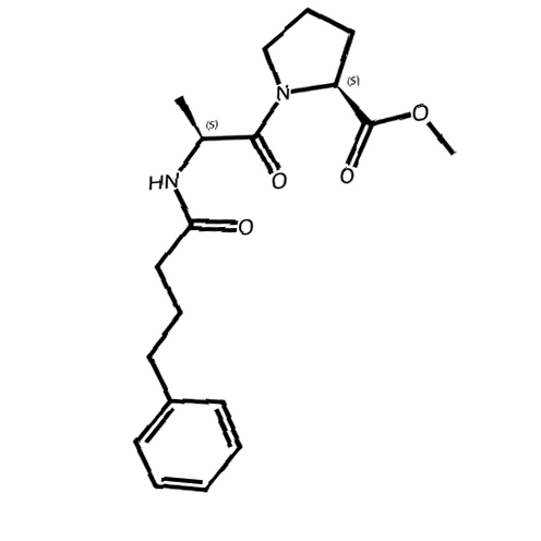 COC(=O)[C@@H]1CCCN1C(=O)[C@H](C)NC(=O)CCCc1ccccc1